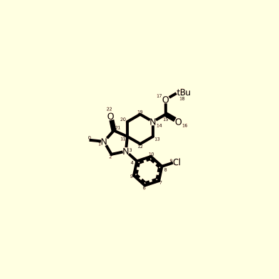 CN1CN(c2cccc(Cl)c2)C2(CCN(C(=O)OC(C)(C)C)CC2)C1=O